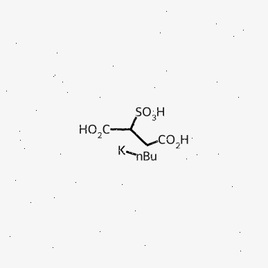 CCC[CH2][K].O=C(O)CC(C(=O)O)S(=O)(=O)O